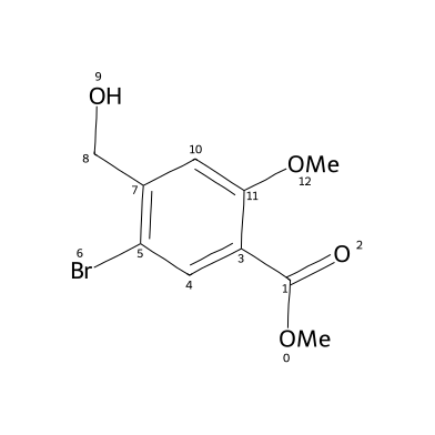 COC(=O)c1cc(Br)c(CO)cc1OC